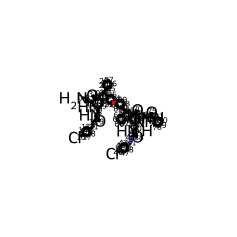 NCC[C@@H]1N[C@H](CNC(=O)CCc2ccc(Cl)cc2)CCN(CC(c2ccccc2)c2ccccc2)C1=O.O=C(/C=C/c1ccc(Cl)cc1)NC[C@@H]1CCN(CC(c2ccccc2)c2ccccc2)C(=O)[C@H](CNC(=O)c2ccccn2)N1